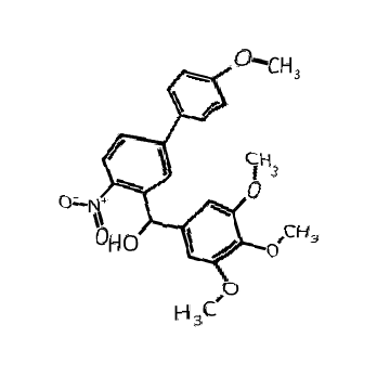 COc1ccc(-c2ccc([N+](=O)[O-])c(C(O)c3cc(OC)c(OC)c(OC)c3)c2)cc1